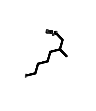 CCOC(=O)CC(C)CCCCI